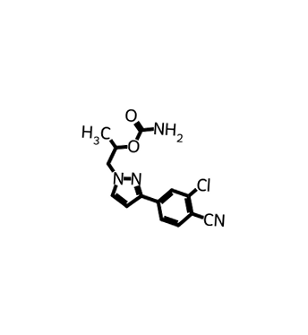 CC(Cn1ccc(-c2ccc(C#N)c(Cl)c2)n1)OC(N)=O